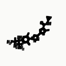 BC(C)(P)C(P)(c1cc(C)c(-n2cc(-c3cc(C(=O)NC4CC4)c(C)s3)nn2)c(C)c1)C(B)(F)I